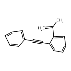 C=C(C)c1ccccc1C#Cc1ccccc1